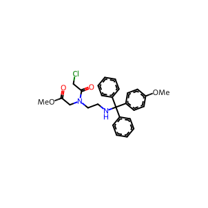 COC(=O)CN(CCNC(c1ccccc1)(c1ccccc1)c1ccc(OC)cc1)C(=O)CCl